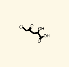 O=C(CCl)CC(O)C(=O)O